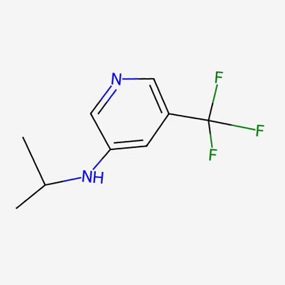 CC(C)Nc1cncc(C(F)(F)F)c1